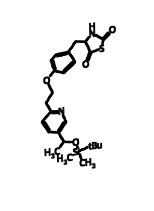 CC(O[Si](C)(C)C(C)(C)C)c1ccc(CCOc2ccc(CC3NC(=O)SC3=O)cc2)nc1